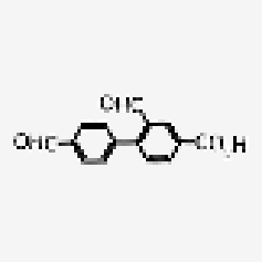 O=Cc1ccc(-c2ccc(C(=O)O)cc2C=O)cc1